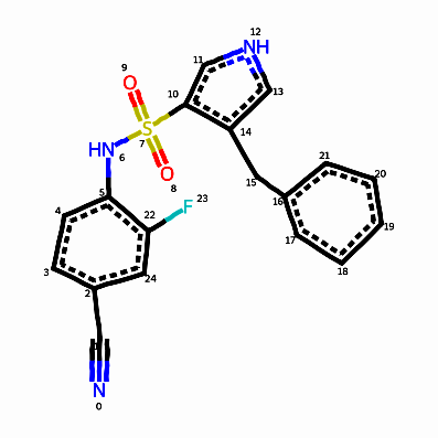 N#Cc1ccc(NS(=O)(=O)c2c[nH]cc2Cc2ccccc2)c(F)c1